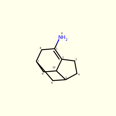 NC1=C2CCC3CC(C1)CC23